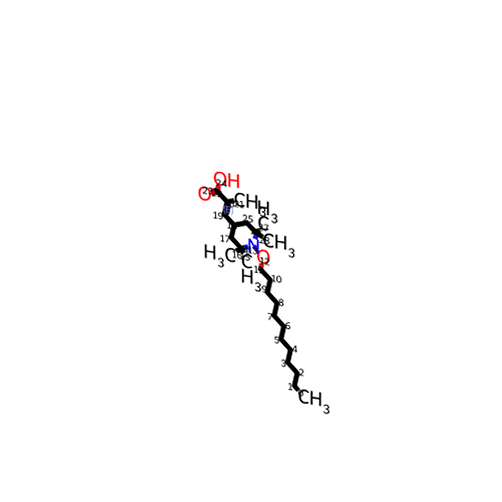 CCCCCCCCCCCCON1C(C)(C)CC(/C=C(\C)C(=O)O)CC1(C)C